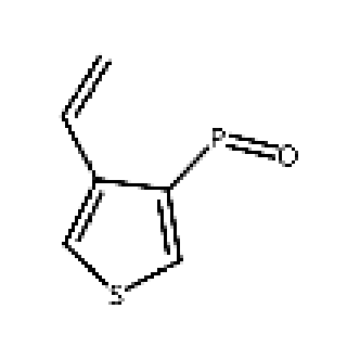 C=Cc1cscc1P=O